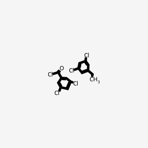 CCc1cc(Cl)cc(Cl)c1.O=C(Cl)c1cc(Cl)cc(Cl)c1